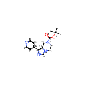 CC(C)(C)OC(=O)N1CCn2cnc(-c3ccncc3)c2C1